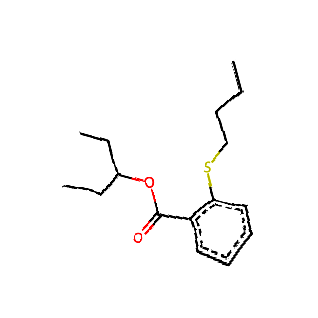 CCCCSc1ccccc1C(=O)OC(CC)CC